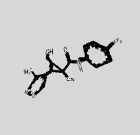 Cc1nocc1C1C(O)C1(C#N)C(=O)Nc1ccc(C(F)(F)F)cc1